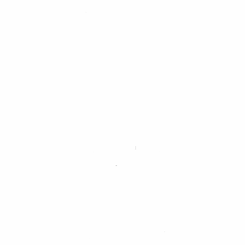 C=CCC1(CC=C)CC/C(=C\c2ccc(Cl)cc2)C1=O